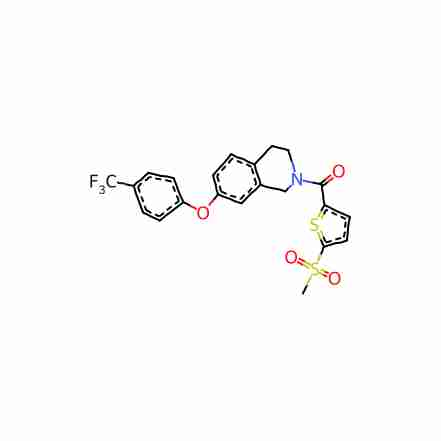 CS(=O)(=O)c1ccc(C(=O)N2CCc3ccc(Oc4ccc(C(F)(F)F)cc4)cc3C2)s1